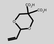 C=CC1OCC(C(=O)O)(C(=O)O)CO1